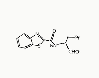 CC(C)C[C@@H]([C]=O)NC(=O)c1nc2ccccc2s1